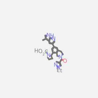 CCn1cc(C(=O)N2CCc3cc(-c4cnc5[nH]cc(C)c5c4)cc(C4CCCN4C(=O)O)c3C2)cn1